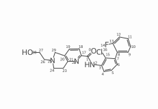 O=C(Nc1cccc(-c2ccccc2F)c1Cl)c1ccc2c(n1)CCN(CCO)C2